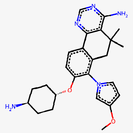 COc1ccn(-c2c(O[C@H]3CC[C@H](N)CC3)ccc3c2CC(C)(C)c2c(N)ncnc2-3)c1